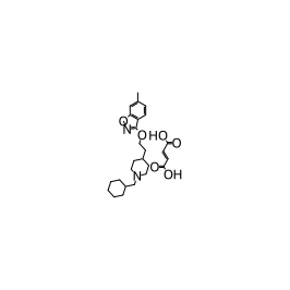 Cc1ccc2c(OCCC3CCN(CC4CCCCC4)CC3)noc2c1.O=C(O)C=CC(=O)O